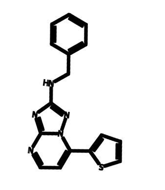 c1ccc(CNc2nc3nccc(-c4cccs4)n3n2)cc1